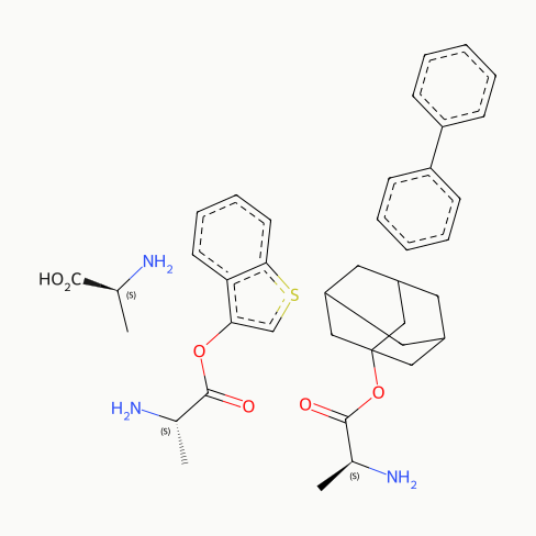 C[C@H](N)C(=O)O.C[C@H](N)C(=O)OC12CC3CC(CC(C3)C1)C2.C[C@H](N)C(=O)Oc1csc2ccccc12.c1ccc(-c2ccccc2)cc1